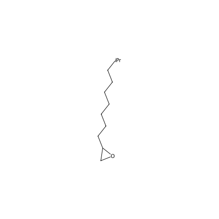 CC(C)CCCCCCCC1CO1